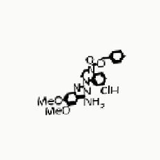 COc1cc2nc(N3CCN(C(=O)OCc4ccccc4)C4CCCC=C43)nc(N)c2cc1OC.Cl